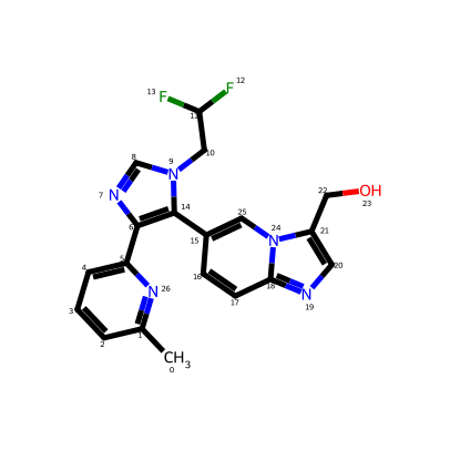 Cc1cccc(-c2ncn(CC(F)F)c2-c2ccc3ncc(CO)n3c2)n1